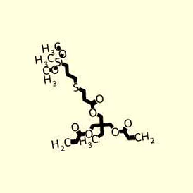 C=CC(=O)OCC(CC)(COC(=O)C=C)COC(=O)CCSCCC[Si](C)(OC)OC